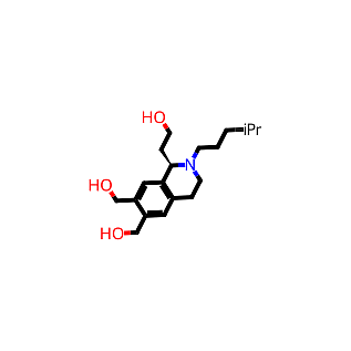 CC(C)CCCN1CCc2cc(CO)c(CO)cc2[C@H]1CCO